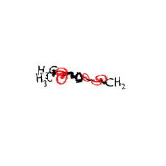 C=CC(=O)OCCOc1ccc(C=CC(=O)OC(C)CC)cc1